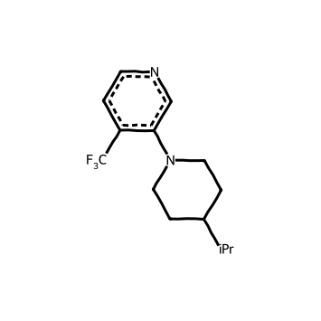 CC(C)C1CCN(c2cnccc2C(F)(F)F)CC1